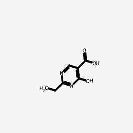 CCc1ncc(C(=O)O)c(O)n1